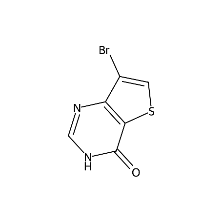 O=c1[nH]cnc2c(Br)csc12